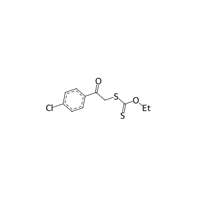 CCOC(=S)SCC(=O)c1ccc(Cl)cc1